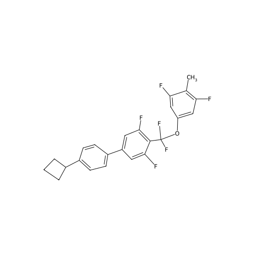 Cc1c(F)cc(OC(F)(F)c2c(F)cc(-c3ccc(C4CCC4)cc3)cc2F)cc1F